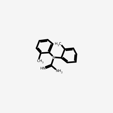 Cc1ccccc1N(C(=N)N)c1ccccc1C